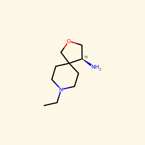 CCN1CCC2(CC1)COC[C@H]2N